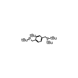 CC(C)(C)P(Cc1ccc(CP(C(C)(C)C)C(C)(C)C)cc1)C(C)(C)C